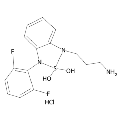 Cl.NCCCN1c2ccccc2N(c2c(F)cccc2F)S1(O)O